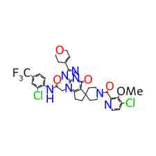 COc1c(Cl)ccnc1C(=O)N1CCC2(CCc3c2c(=O)n2nc(C4=CCOCC4)nc2n3CC(=O)Nc2ccc(C(F)(F)F)cc2Cl)CC1